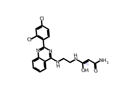 NC(=O)/C=C(\O)NCCNc1nc(-c2ccc(Cl)cc2Cl)nc2ccccc12